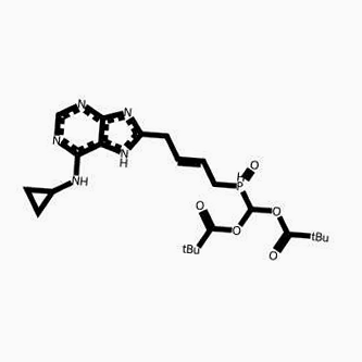 CC(C)(C)C(=O)OC(OC(=O)C(C)(C)C)[PH](=O)C/C=C/Cc1nc2ncnc(NC3CC3)c2[nH]1